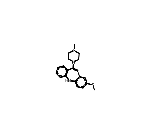 CSc1ccc2c(c1)N=C(N1CCN(C)CC1)c1ccccc1N2